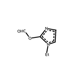 CCn1ccnc1OC=O